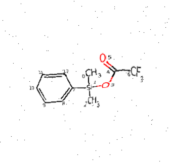 C[Si](C)(OC(=O)C(F)(F)F)c1ccccc1